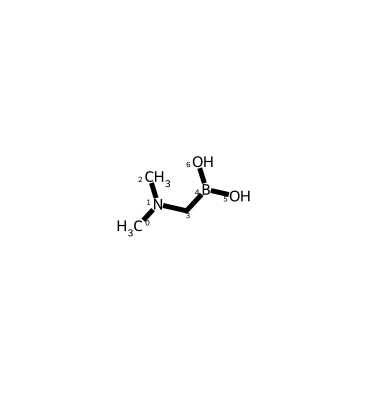 CN(C)CB(O)O